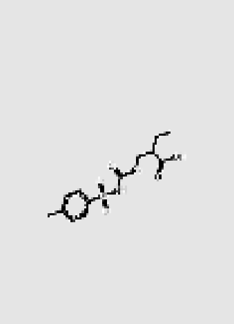 CCC(CNC(=O)NS(=O)(=O)c1ccc(C)cc1)C(=O)O